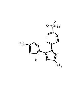 CS(=O)(=O)c1ccc(-n2nc(C(F)(F)F)nc2-c2ccc(C(F)(F)F)cc2F)cc1